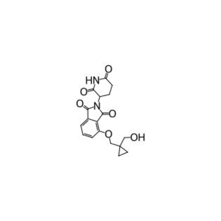 O=C1CCC(N2C(=O)c3cccc(OCC4(CO)CC4)c3C2=O)C(=O)N1